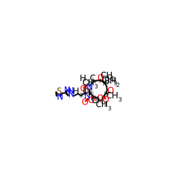 B[C@@H]1CC(=O)[C@@H](C)C(=O)O[C@H](CC)[C@@]2(C)OC(=O)N(CCCCn3cc(-c4nccs4)nn3)[C@@H]2[C@@H](C)N(C(C)=O)C[C@H](C)C[C@@]1(C)OC